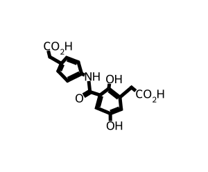 O=C(O)Cc1ccc(NC(=O)c2cc(O)cc(CC(=O)O)c2O)cc1